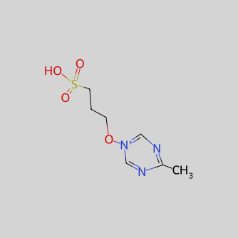 Cc1nc[n+](OCCCS(=O)(=O)O)cn1